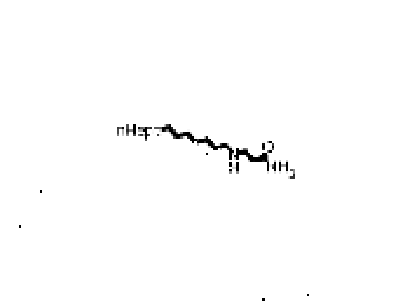 CCCCCCCCCCCCCCNCCC(N)=O